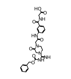 N=C(NC(=O)OCc1ccccc1)N1CCN(CC(=O)Nc2cccc(C(=O)NCC(=O)O)c2)C(=O)C1